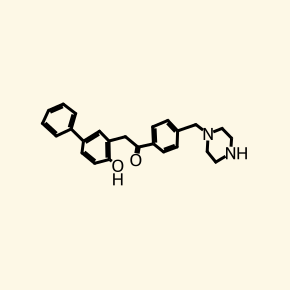 O=C(Cc1cc(-c2ccccc2)ccc1O)c1ccc(CN2CCNCC2)cc1